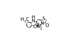 CCN1C(=O)CSC1=CC(=O)Nc1c(C)cccc1C